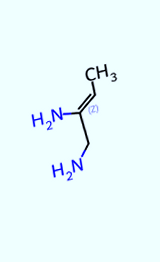 C/C=C(\N)CN